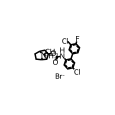 C[N+]1(C)C2CCC1CC(OC(=O)Nc1ccc(Cl)cc1-c1ccc(F)c(Cl)c1)C2.[Br-]